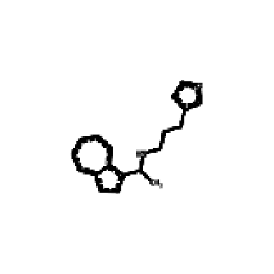 CC(NCCCc1ccoc1)c1ccc2cccccc1-2